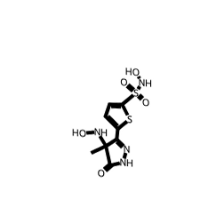 CC1(NO)C(=O)NN=C1c1ccc(S(=O)(=O)NO)s1